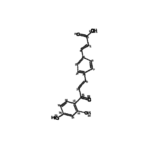 O=C(O)C=Cc1ccc(C=CC(=O)c2ccc(O)cc2O)cc1